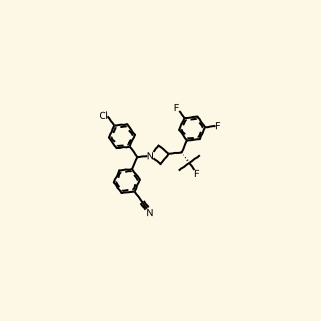 CC(C)(F)[C@@H](c1cc(F)cc(F)c1)C1CN(C(c2ccc(Cl)cc2)c2cccc(C#N)c2)C1